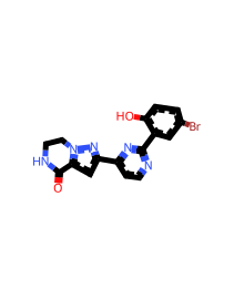 O=C1NCCn2nc(-c3ccnc(-c4cc(Br)ccc4O)n3)cc21